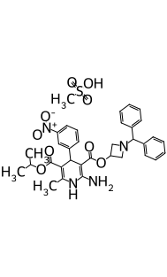 CC1=C(C(=O)OC(C)C)C(c2cccc([N+](=O)[O-])c2)C(C(=O)OC2CN(C(c3ccccc3)c3ccccc3)C2)=C(N)N1.CS(=O)(=O)O